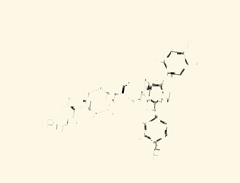 CC(C)(C)OC(=O)N1CCN(C(=O)Cn2nc(-c3ccc(F)cc3)nc2-c2ccc(F)cc2)CC1